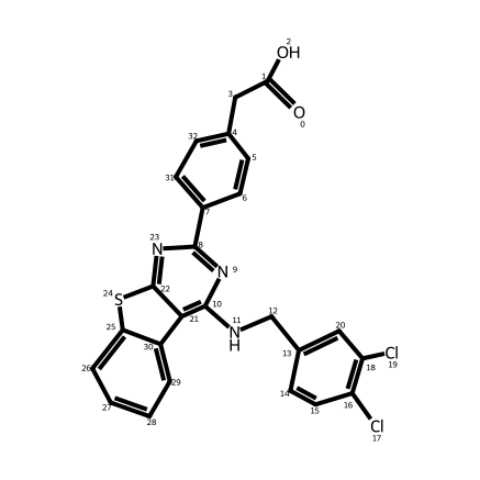 O=C(O)Cc1ccc(-c2nc(NCc3ccc(Cl)c(Cl)c3)c3c(n2)sc2ccccc23)cc1